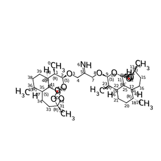 C[C@H]1[C@@H](OCC(=N)CO[C@H]2O[C@@H]3O[C@@]4(C)CC[C@H]5[C@H](C)CC[C@@H]([C@H]2C)[C@@]35OO4)OC2O[C@@]3(C)CC[C@H]4[C@H](C)CC[C@@H]1[C@@]24OO3